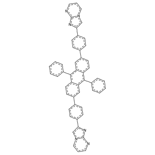 c1ccc(-c2c3ccc(-c4ccc(-c5cn6cccnc6n5)cc4)cc3c(-c3ccccc3)c3ccc(-c4ccc(-c5cn6cccnc6n5)cc4)cc23)cc1